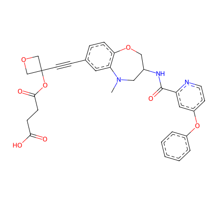 CN1CC(NC(=O)c2cc(Oc3ccccc3)ccn2)COc2ccc(C#CC3(OC(=O)CCC(=O)O)COC3)cc21